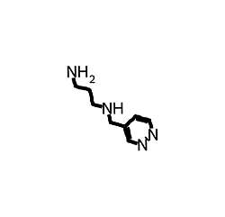 NCCCNCc1ccnnc1